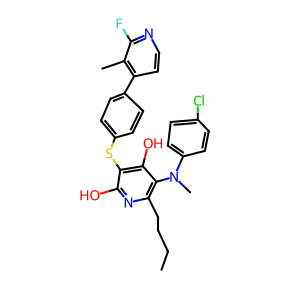 CCCCc1nc(O)c(Sc2ccc(-c3ccnc(F)c3C)cc2)c(O)c1N(C)c1ccc(Cl)cc1